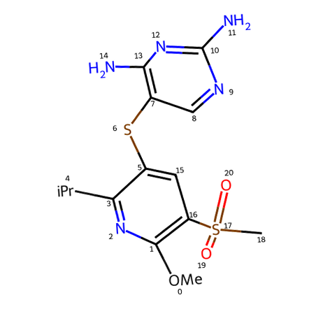 COc1nc(C(C)C)c(Sc2cnc(N)nc2N)cc1S(C)(=O)=O